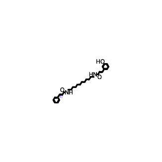 O=C(C=Cc1cccc(O)c1)NCCCCCCCCCCCCNC(=O)/C=C/c1ccccc1